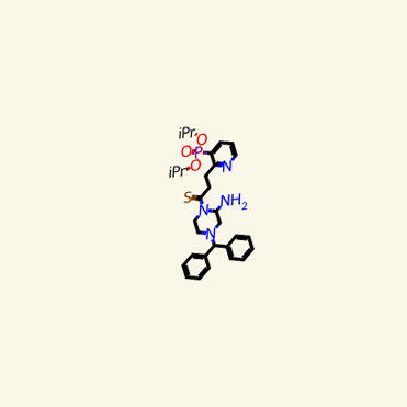 CC(C)OP(=O)(OC(C)C)c1cccnc1CCC(=S)N1CCN(C(c2ccccc2)c2ccccc2)CC1N